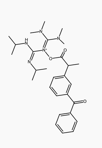 CC(C)N=C(NC(C)C)[N+](OC(=O)C(C)c1cccc(C(=O)c2ccccc2)c1)=C(N(C)C)N(C)C